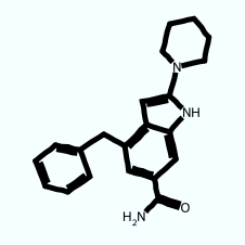 NC(=O)c1cc(Cc2ccccc2)c2cc(N3CCCCC3)[nH]c2c1